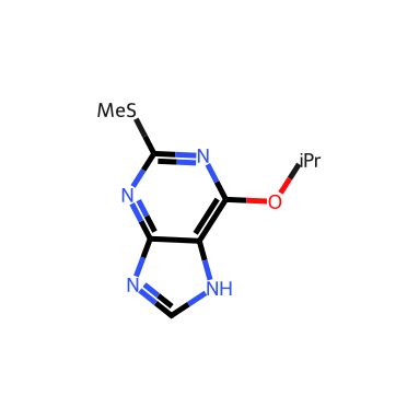 CSc1nc(OC(C)C)c2[nH]cnc2n1